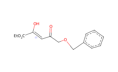 CCOC(=O)/C(O)=C/C(=O)COCc1ccccc1